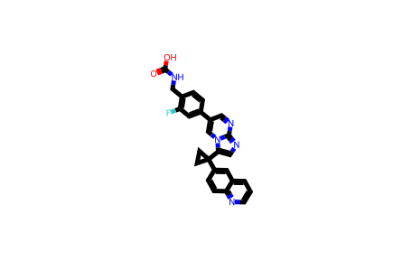 O=C(O)NCc1ccc(-c2cnc3ncc(C4(c5ccc6ncccc6c5)CC4)n3c2)cc1F